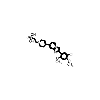 COc1cc(OC)c(-c2cn3ccc(C4=CCN(CCP(=O)(O)O)CC4)cc3n2)cc1Cl